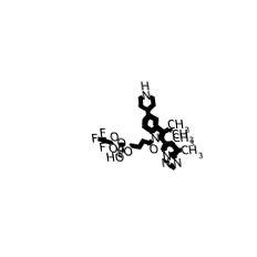 Cc1c(-c2c(C(C)C)c3cc(C4CCNCC4)ccc3n2C(=O)CCCOP(=O)(O)OC(=O)C(F)(F)F)cn2ncnc2c1C